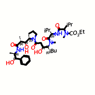 CCOC(=O)N(C)C(C(=O)N[C@H](C(=O)N(C)[C@H]([C@H](O)CC(=O)N1CCC[C@H]1[C@H](O)[C@@H](C)C(=O)N[C@H](C)[C@@H](O)c1ccccc1)[C@@H](C)CC)C(C)C)C(C)C